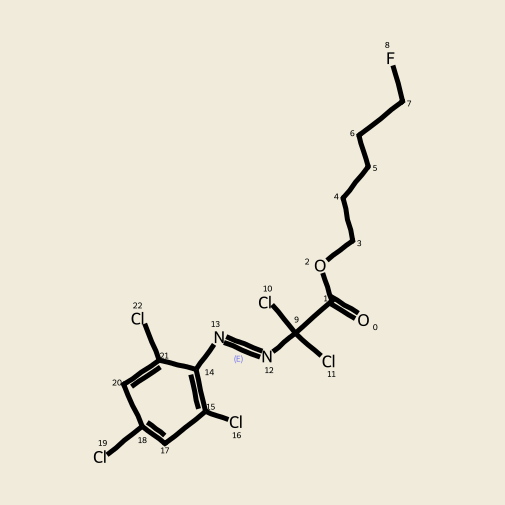 O=C(OCCCCCF)C(Cl)(Cl)/N=N/c1c(Cl)cc(Cl)cc1Cl